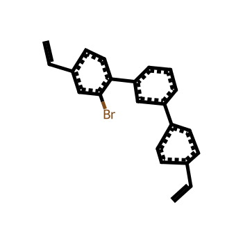 C=Cc1ccc(-c2cccc(-c3ccc(C=C)cc3Br)c2)cc1